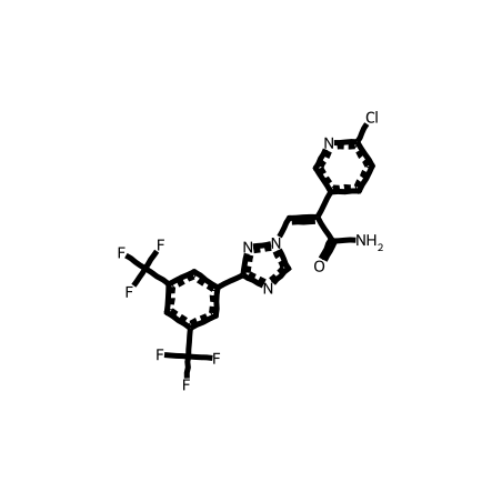 NC(=O)/C(=C\n1cnc(-c2cc(C(F)(F)F)cc(C(F)(F)F)c2)n1)c1ccc(Cl)nc1